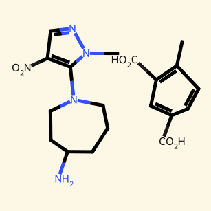 Cc1ccc(C(=O)O)cc1C(=O)O.Cn1ncc([N+](=O)[O-])c1N1CCCC(N)CC1